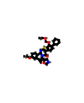 COCOc1c(-c2ccccc2)ccc2c1sc1nc(-c3ccc(OC)cc3C3CC3)n(Cc3cnco3)c(=O)c12